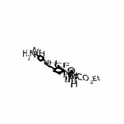 CCOC(=O)CNC(=O)N(c1ccc(C#CCNc2ccc(C(=N)N)cc2)c(C(F)(F)F)c1)C(C)C